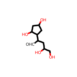 O=CC(CC(O)CO)C1CC(O)CC1O